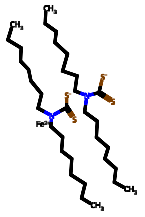 CCCCCCCCN(CCCCCCCC)C(=S)[S-].CCCCCCCCN(CCCCCCCC)C(=S)[S-].[Fe+2]